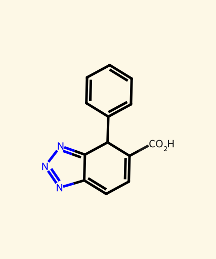 O=C(O)C1=CC=C2N=NN=C2C1c1ccccc1